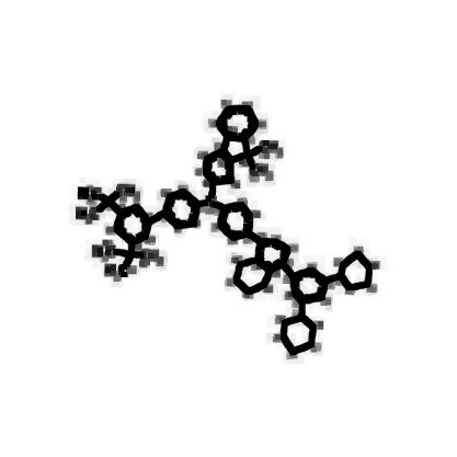 CC(C)(C)c1cc(-c2ccc(N(c3ccc(-c4ccc(-c5cc(C6CCCCC6)cc(C6CCCCC6)c5)c5c4CCCC5)cc3)c3ccc4c(c3)C(C)(C)c3ccccc3-4)cc2)cc(C(C)(C)C)c1